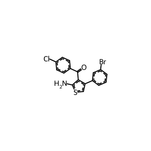 Nc1scc(-c2cccc(Br)c2)c1C(=O)c1ccc(Cl)cc1